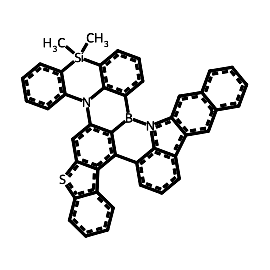 C[Si]1(C)c2ccccc2N2c3cc4sc5ccccc5c4c4c3B(c3cccc1c32)n1c2cc3ccccc3cc2c2cccc-4c21